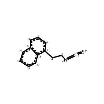 S=C=NCCc1cccc2ccccc12